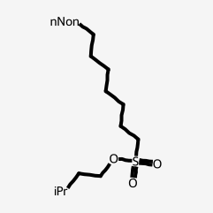 CCCCCCCCCCCCCCCCS(=O)(=O)OCCC(C)C